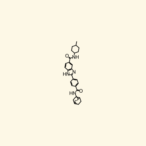 CC1CCC(NC(=O)c2ccc3[nH]c(-c4ccc(C(=O)NC5CC6CCC5CC6)cc4)nc3c2)CC1